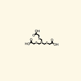 O=C(O)CSCN(CSCC(=O)O)CSCC(=O)O